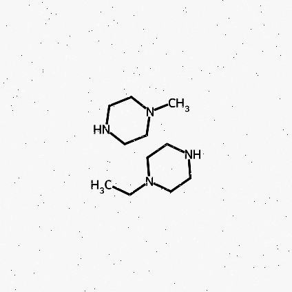 CCN1CCNCC1.CN1CCNCC1